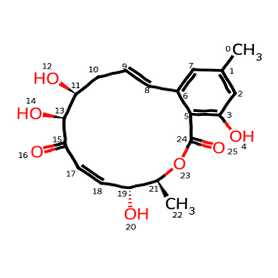 Cc1cc(O)c2c(c1)/C=C/C[C@H](O)[C@H](O)C(=O)/C=C\[C@@H](O)[C@H](C)OC2=O